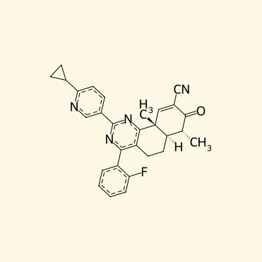 C[C@H]1C(=O)C(C#N)=C[C@@]2(C)c3nc(-c4ccc(C5CC5)nc4)nc(-c4ccccc4F)c3CC[C@H]12